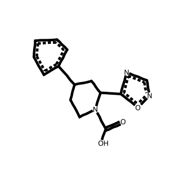 O=C(O)N1CCC(c2ccccc2)CC1c1ncno1